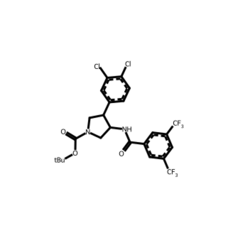 CC(C)(C)OC(=O)N1CC(NC(=O)c2cc(C(F)(F)F)cc(C(F)(F)F)c2)C(c2ccc(Cl)c(Cl)c2)C1